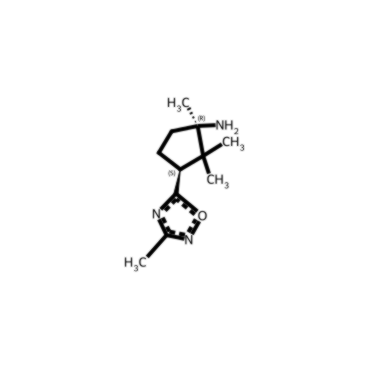 Cc1noc([C@H]2CC[C@@](C)(N)C2(C)C)n1